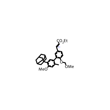 CCOC(=O)/C=C/c1ccc(OCOC)c(-c2cc(C34CC5CC(CC(C5)C3)C4)c(OC)cc2C)c1